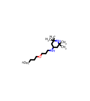 CCCCCCCCCCCCCOCCCNC1CC(C)(C)NC(C)(C)C1